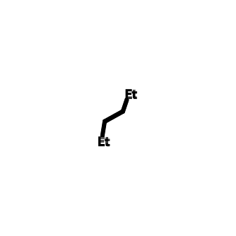 [C]CCCC[CH2]